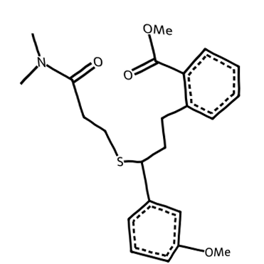 COC(=O)c1ccccc1CCC(SCCC(=O)N(C)C)c1cccc(OC)c1